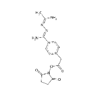 C/C(N)=N/N=C(\N)c1ccc(CC(=O)ON2C(=O)CCC2=O)cc1